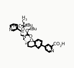 CC(C)(C)OC(=O)N(C[C@H]1CCc2cc(-c3ccnc(C(=O)O)c3)ccc2O1)C[C@@H](O[Si](C)(C)C(C)(C)C)c1cccnc1